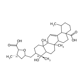 CC1CCCC2(C(=O)O)CCC3C(=CCC4C3(C)CCC3C4(C)CCC(CC4C[C@H](C)C(C(=O)O)O4)[C@@]3(C)O)C12